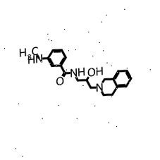 CNc1cccc(C(=O)NCC(O)CN2CCc3ccccc3C2)c1